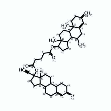 C#CC1(OC(=O)CCCC(=O)OC2CCC3C4C(C)CC5=CC(=C)CCC5(C)C4CCC23C)CCC2C3CCC4=CC(=O)CCC4C3CCC21CC